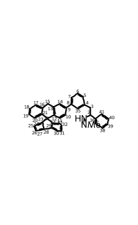 CNNC(Cc1cccc(-c2ccc3c(c2)Cc2ccccc2C32c3ccccc3-c3ccccc32)c1)c1ccccc1